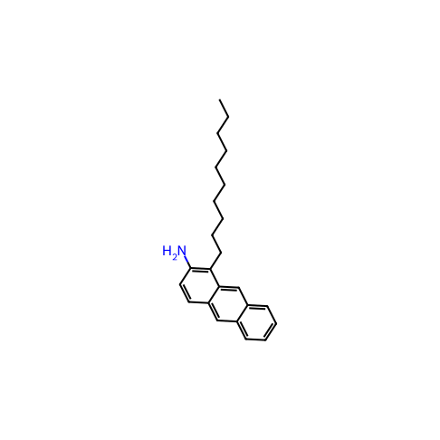 CCCCCCCCCCc1c(N)ccc2cc3ccccc3cc12